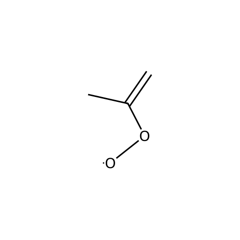 C=C(C)O[O]